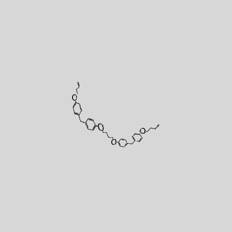 C=CCCOc1ccc(Cc2ccc(OCCCCOc3ccc(Cc4ccc(OCCC=C)cc4)cc3)cc2)cc1